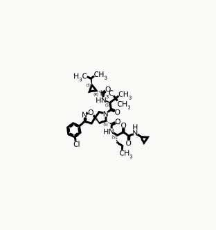 CCC[C@H](NC(=O)[C@@H]1C[C@]2(CC(c3cccc(Cl)c3)=NO2)CN1C(=O)[C@@H](NC(=O)[C@@H]1C[C@H]1C(C)C)C(C)(C)C)C(=O)C(=O)NC1CC1